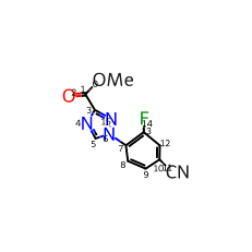 COC(=O)c1ncn(-c2ccc(C#N)cc2F)n1